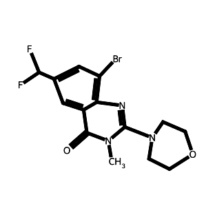 Cn1c(N2CCOCC2)nc2c(Br)cc(C(F)F)cc2c1=O